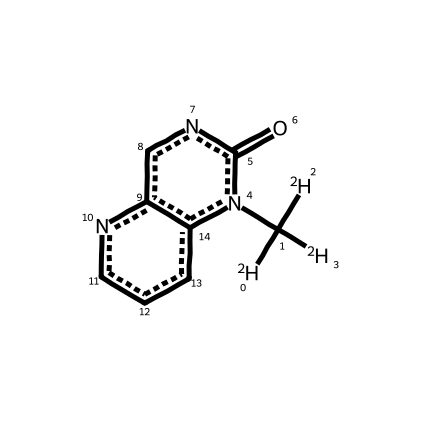 [2H]C([2H])([2H])n1c(=O)ncc2ncccc21